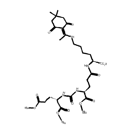 CC(NCCCC[C@H](NC(=O)CC[C@H](NC(=O)N[C@@H](CCC(=O)OC(C)(C)C)C(=O)OC(C)(C)C)C(=O)OC(C)(C)C)C(=O)O)=C1C(=O)CC(C)(C)CC1=O